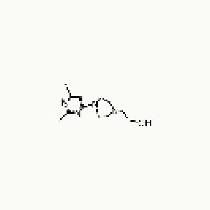 Cc1cc(N2CCN(CCO)CC2)nc(C)n1